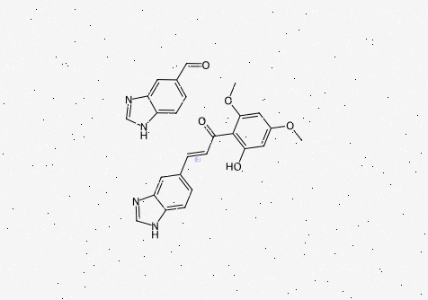 COc1cc(O)c(C(=O)/C=C/c2ccc3[nH]cnc3c2)c(OC)c1.O=Cc1ccc2[nH]cnc2c1